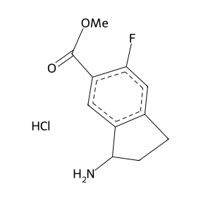 COC(=O)c1cc2c(cc1F)CCC2N.Cl